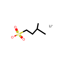 CC(C)CCS(=O)(=O)[O-].[Li+]